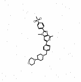 Cc1nc(-c2ccc(CN3CCC(N4CCOCC4)CC3)cc2)cc2c1nc(-c1ccc(S(C)(=O)=O)cc1)n2C